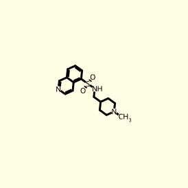 CN1CCC(CNS(=O)(=O)c2cccc3cnccc23)CC1